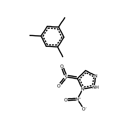 Cc1cc(C)cc(C)c1.O=[N+]([O-])n1[nH]ncc1=S(=O)=O